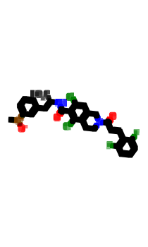 C[S+]([O-])c1cccc(C[C@H](NC(=O)c2c(Cl)cc3c(c2Cl)CCN(C(=O)/C=C/c2c(F)cccc2F)C3)C(=O)O)c1